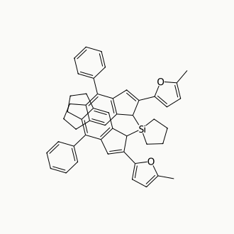 Cc1ccc(C2=Cc3c(cc4c(c3-c3ccccc3)CCC4)C2[Si]2(C3C(c4ccc(C)o4)=Cc4c3cc3c(c4-c4ccccc4)CCC3)CCCC2)o1